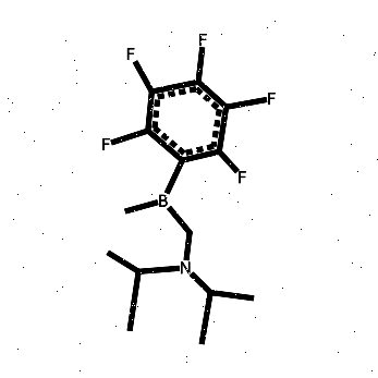 CB(CN(C(C)C)C(C)C)c1c(F)c(F)c(F)c(F)c1F